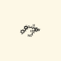 N#CCCCNc1n[s+]([O-])nc1NCCCOc1cccc(CN2CCCCC2)c1